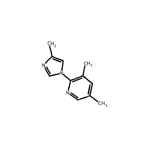 Cc1cnc(-n2cnc(C)c2)c(C)c1